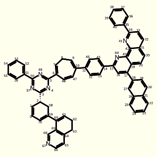 C1=C[C@H](c2nc(C3=CCC=C(c4ccc(-c5cc(-c6ccc7ccccc7c6)c6ccc7ccc(-c8ccccc8)nc7c6n5)cc4)C=C3)nc(-c3ccccc3)n2)CC(C2=CCCc3ccncc32)=C1